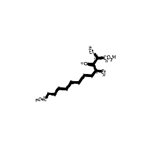 CCCCCCCCCCCCCCCCCCC(CC)C(=O)C(CC)C(=O)O